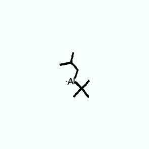 CC(C)[CH2][Al][C](C)(C)C